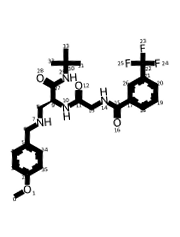 COc1ccc(CNC[C@H](NC(=O)CNC(=O)c2cccc(C(F)(F)F)c2)C(=O)NC(C)(C)C)cc1